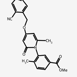 COC(=O)c1ccc(C)c(-n2c(C)cc(OCc3ccccc3C#N)cc2=O)c1